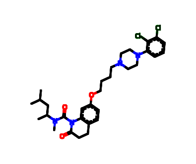 CC(C)CC(C)N(C)C(=O)N1C(=O)CCc2ccc(OCCCCN3CCN(c4cccc(Cl)c4Cl)CC3)cc21